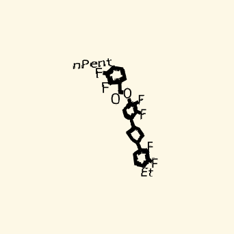 CCCCCc1ccc(C(=O)Oc2ccc(C3=CCC(c4ccc(CC)c(F)c4F)CC3)c(F)c2F)c(F)c1F